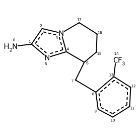 Nc1cn2c(n1)C(Cc1ccccc1C(F)(F)F)CCC2